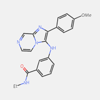 CCNC(=O)c1cccc(Nc2c(-c3ccc(OC)cc3)nc3cnccn23)c1